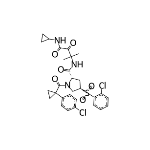 CC(C)(NC(=O)[C@@H]1C[C@@H](S(=O)(=O)c2ccccc2Cl)CN1C(=O)C1(c2ccc(Cl)cc2)CC1)C(=O)C(=O)NC1CC1